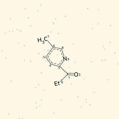 CCC(=O)c1ccc(C)cn1